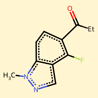 CCC(=O)c1ccc2c(cnn2C)c1F